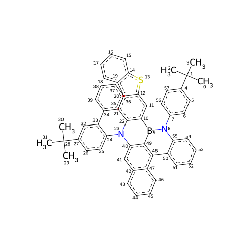 CC(C)(C)c1ccc(N2B3c4cc5sc6ccccc6c5cc4N(c4ccc(C(C)(C)C)cc4-c4ccccc4)c4cc5ccccc5c(c43)-c3ccccc32)cc1